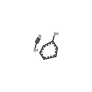 N#CS.Sc1ccccc1